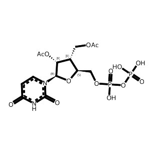 CC(=O)OC[C@H]1[C@@H](OC(C)=O)[C@H](n2ccc(=O)[nH]c2=O)O[C@@H]1COP(=O)(O)OP(=O)(O)O